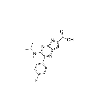 CC(C)N(C)c1nc2[nH]c(C(=O)O)cc2nc1-c1ccc(F)cc1